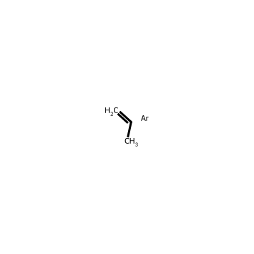 C=CC.[Ar]